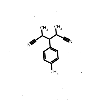 Cc1ccc(C(C(C)C#N)C(C)C#N)cc1